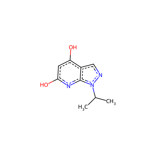 CC(C)n1ncc2c(O)cc(O)nc21